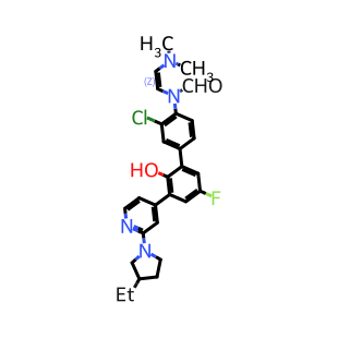 CCC1CCN(c2cc(-c3cc(F)cc(-c4ccc(N(C=O)/C=C\N(C)C)c(Cl)c4)c3O)ccn2)C1